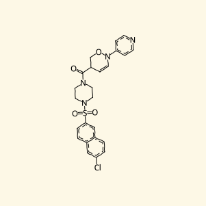 O=C(C1C=CN(c2ccncc2)OC1)N1CCN(S(=O)(=O)c2ccc3cc(Cl)ccc3c2)CC1